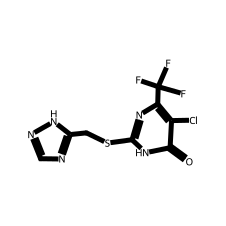 O=c1[nH]c(SCc2ncn[nH]2)nc(C(F)(F)F)c1Cl